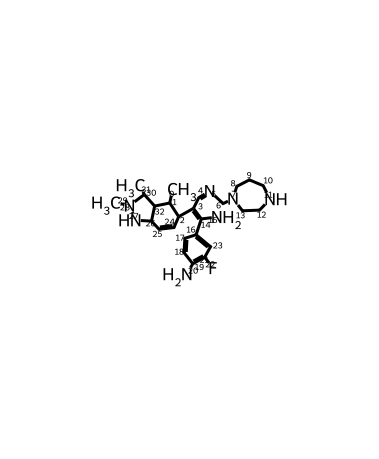 CC1C(C(/C=N\CN2CCCNCC2)=C(/N)c2ccc(N)c(F)c2)C=CC2NN(C)C(C)C21